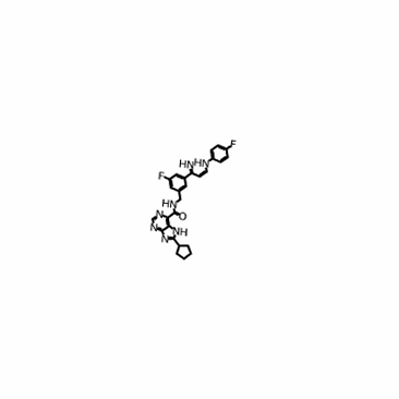 N=C(/C=C\Nc1ccc(F)cc1)c1cc(F)cc(CNC(=O)c2ncnc3nc(C4CCCC4)[nH]c23)c1